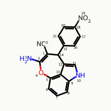 N#CC1=C(N)Oc2cccc3[nH]cc(c23)C1c1ccc([N+](=O)[O-])cc1